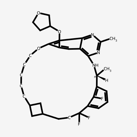 Cc1nc2c3cc(OC4CCOC4)c(cc3n1)OCCCCCC1CC(CCC(F)(F)c3cccc(c3F)[C@@H](C)N2)C1